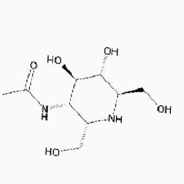 CC(=O)N[C@@H]1[C@@H](O)[C@H](O)[C@@H](CO)N[C@@H]1CO